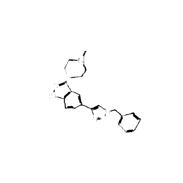 CN1CCN(c2n[nH]c3ccc(-c4cn(Cc5ccccc5)nn4)cc23)CC1